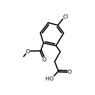 COC(=O)c1ccc(Cl)cc1CCC(=O)O